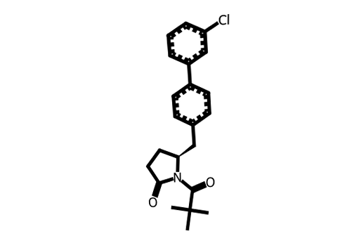 CC(C)(C)C(=O)N1C(=O)CC[C@H]1Cc1ccc(-c2cccc(Cl)c2)cc1